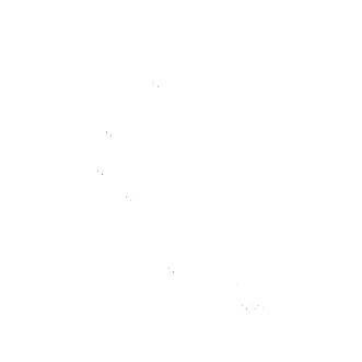 CNC(=O)c1ccnc2c(CCNc3cc(-c4ccc(C5CCC5)nc4)ncn3)ccc(F)c12